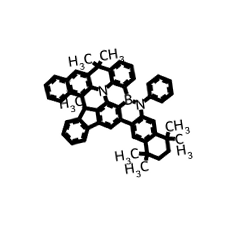 CC1(C)CCC(C)(C)c2cc3c(cc21)-c1cc2c4c5c1B(c1cccc6c1N5c1c(cc5ccccc5c1C4(C)c1ccccc1-2)C6(C)C)N3c1ccccc1